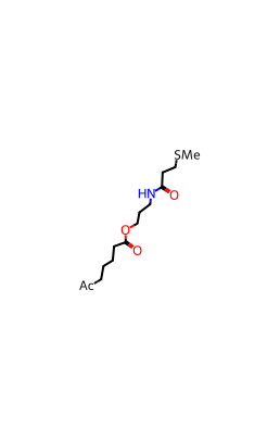 CSCCC(=O)NCCCOC(=O)CCCCC(C)=O